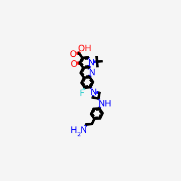 CC(C)(C)n1cc(C(=O)O)c(=O)c2cc3cc(F)c(N4CC(Nc5ccc(CCN)cc5)C4)cc3nc21